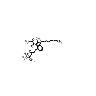 CCCCCCCCn1c(C)c(C(=O)C(N)=O)c2c(OCC(=O)OC(C)(C)C)cccc21